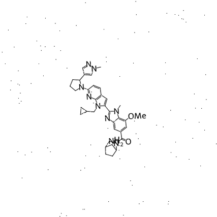 COc1cc(C(=O)N2CC3CCC2[C@@H]3N)cc2nc(-c3cc4ccc(N5CCCC5c5cnn(C)c5)nc4n3CC3CC3)n(C)c12